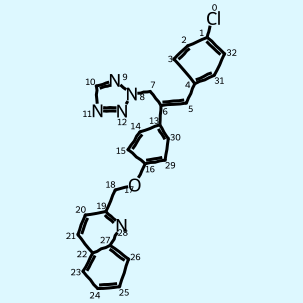 Clc1ccc(C=C(Cn2ncnn2)c2ccc(OCc3ccc4ccccc4n3)cc2)cc1